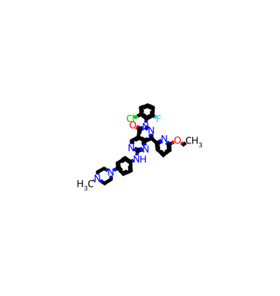 CCOc1cccc(-c2nn(-c3c(F)cccc3Cl)c(=O)c3cnc(Nc4ccc(N5CCN(C)CC5)cc4)nc23)n1